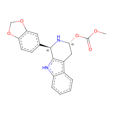 COC(=O)O[C@@H]1Cc2c([nH]c3ccccc23)[C@@H](c2ccc3c(c2)OCO3)N1